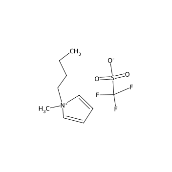 CCCC[N+]1(C)C=CC=C1.O=S(=O)([O-])C(F)(F)F